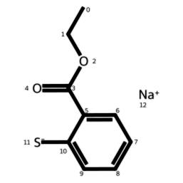 CCOC(=O)c1ccccc1[S-].[Na+]